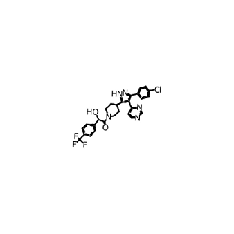 O=C(C(O)c1ccc(C(F)(F)F)cc1)N1CCC(c2[nH]nc(-c3ccc(Cl)cc3)c2-c2ccncn2)CC1